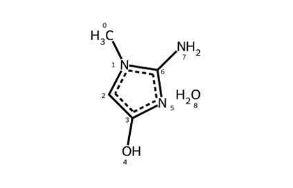 Cn1cc(O)nc1N.O